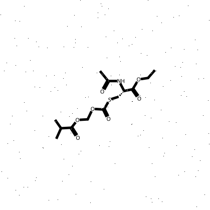 CCOC(=O)[C@H](CSC(=O)OCOC(=O)C(C)C)NC(C)=O